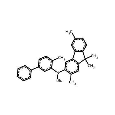 Cc1ccc2c(c1)-c1cc(N(c3cc(-c4ccccc4)ccc3C)C(C)(C)C)c(C)cc1C2(C)C